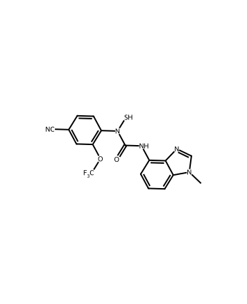 Cn1cnc2c(NC(=O)N(S)c3ccc(C#N)cc3OC(F)(F)F)cccc21